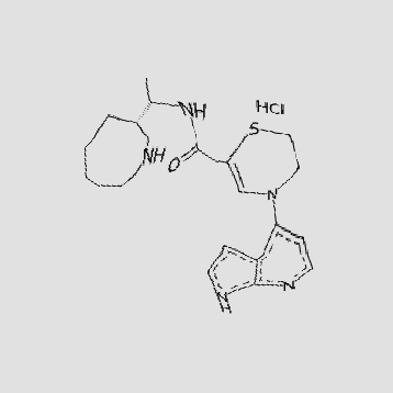 CC(NC(=O)C1=CN(c2ccnc3[nH]ccc23)CCS1)[C@H]1CCCCN1.Cl